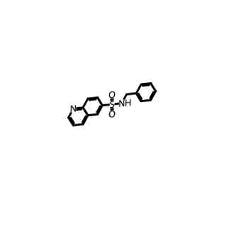 O=S(=O)(NCc1ccccc1)c1ccc2ncccc2c1